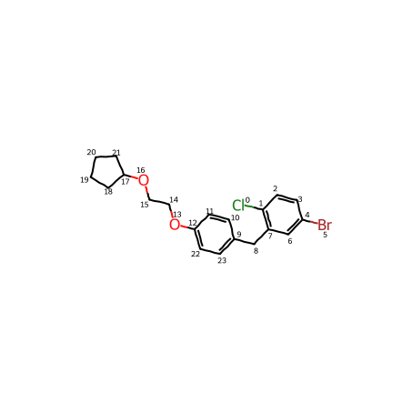 Clc1ccc(Br)cc1Cc1ccc(OCCOC2CCCC2)cc1